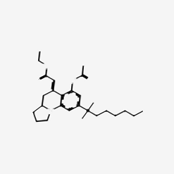 CCCCCCC(C)(C)c1cc(OC(C)=O)c2c(c1)N1CCCC1CC2=CC(=O)OCC